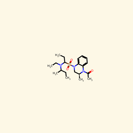 CCC(C)N(CC)C(CC)S(=O)(=O)N1C[C@H](C)N(C(C)=O)c2ccccc21